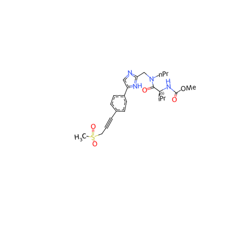 CCCN(Cc1ncc(-c2ccc(C#CCS(C)(=O)=O)cc2)[nH]1)C(=O)[C@@H](NC(=O)OC)C(C)C